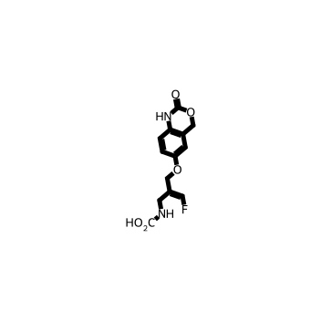 O=C(O)NCC(=CF)COc1ccc2c(c1)COC(=O)N2